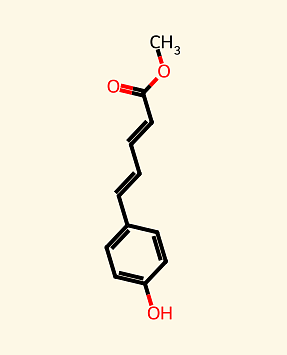 COC(=O)/C=C/C=C/c1ccc(O)cc1